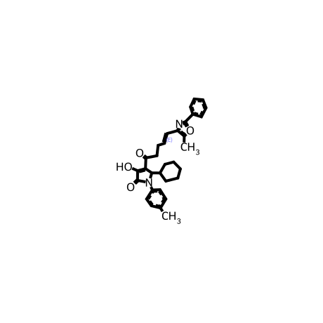 Cc1ccc(N2C(=O)C(O)=C(C(=O)CC/C=C/c3nc(-c4ccccc4)oc3C)C2C2CCCCC2)cc1